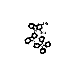 CC(C)(C)c1cc(C(C)(C)C)c2c(c1)c1ccccc1n2-c1ccc2c(c1)c1ccccc1n2-c1cccc(S(c2ccccc2)(c2ccccc2)c2ccccc2)c1